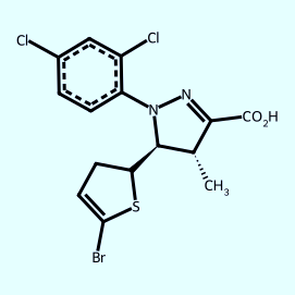 C[C@H]1C(C(=O)O)=NN(c2ccc(Cl)cc2Cl)[C@@H]1C1CC=C(Br)S1